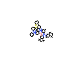 Cc1cc2c3c(c1)N(c1ccc4c(sc5ccccc54)c1C(C)(C)C)c1cc(N(c4ccccc4)c4ccccc4)ccc1B3c1cc3c(cc1N2c1cc2c(cc1C)C(C)(C)CCC2(C)C)C(C)(C)CC3(C)C